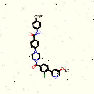 CCOc1cncc(-c2ccc(C(=O)N3CCN(c4ccc(C(=O)Nc5ccc(OC)cc5)cc4)CC3)cc2F)c1